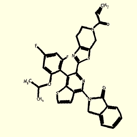 C=CC(=O)N1CCc2nc(-c3nc(N4Cc5ccccc5C4=O)c4ccsc4c3-c3c(F)cc(F)cc3OC(C)C)sc2C1